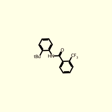 CC(C)(C)c1ccccc1NC(=O)c1ccccc1C(F)(F)F